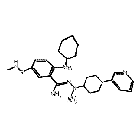 CNSc1ccc(NC2CCCCC2)c(/C(N)=N/N(N)C2CCN(c3cccnc3)CC2)c1